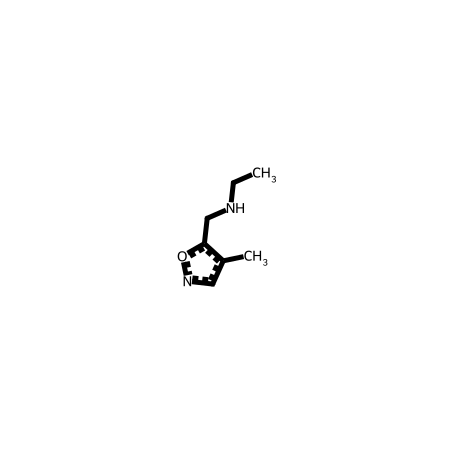 CCNCc1oncc1C